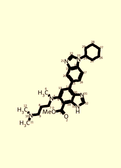 COC(=O)c1c(N(C)CCCN(C)C)cc(-c2ccc3c(c2)ncn3C2CCCCC2)c2nc[nH]c12